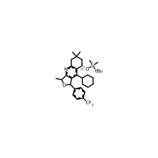 CC1OC(c2ccc(C(F)(F)F)cc2)c2c1nc1c(c2C2CCCCC2)[C@@H](O[Si](C)(C)C(C)(C)C)CC(C)(C)C1